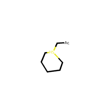 CC(=O)C[SH]1CCCCC1